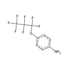 Nc1ccc(SC(F)(F)C(F)(F)C(F)(F)F)cc1